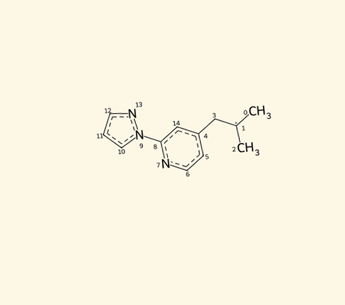 C[C](C)Cc1ccnc(-n2cccn2)c1